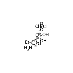 CCc1cn([C@@H]2O[C@H](COP(=O)(Cl)Cl)C(O)C2O)c(=O)nc1N